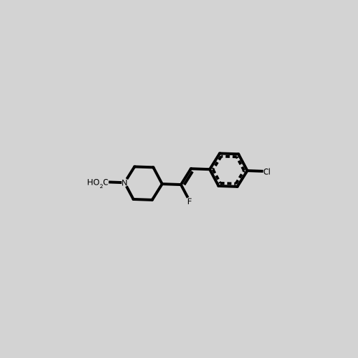 O=C(O)N1CCC(/C(F)=C/c2ccc(Cl)cc2)CC1